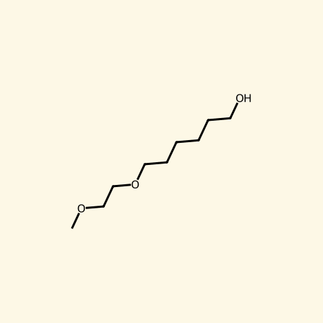 COCCOCCCCCCO